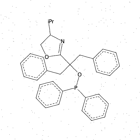 CC(C)C1COC(C(Cc2ccccc2)(Cc2ccccc2)OP(c2ccccc2)c2ccccc2)=N1